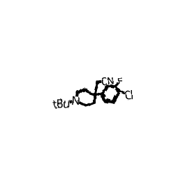 CC(C)(C)N1CCC(CC#N)(c2ccc(Cl)c(F)c2)CC1